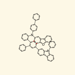 c1ccc(-c2ccc(N(c3ccc4oc5ccccc5c4c3)c3ccccc3-c3ccc(-c4ccc5c6ccccc6n(-c6ccccc6)c5c4)cc3-c3ccccc3)cc2)cc1